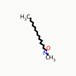 CCCCCCCCCCCCCCCC(=O)[N]CC